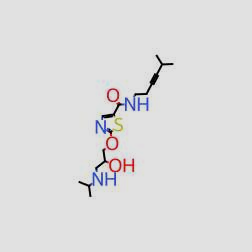 CC(C)C#CCCNC(=O)c1cnc(OCC(O)CNC(C)C)s1